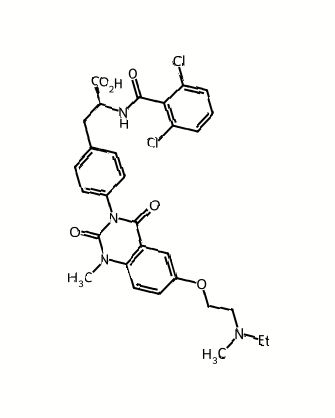 CCN(C)CCOc1ccc2c(c1)c(=O)n(-c1ccc(C[C@H](NC(=O)c3c(Cl)cccc3Cl)C(=O)O)cc1)c(=O)n2C